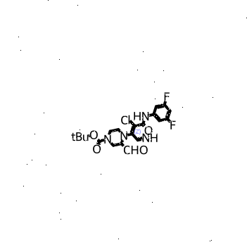 CC(C)(C)OC(=O)N1CCN(/C(C=N)=C(\Cl)C(=O)Nc2cc(F)cc(F)c2)C(C=O)C1